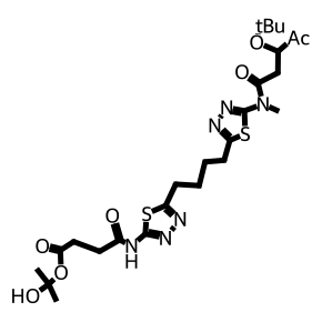 CC(=O)C(CC(=O)N(C)c1nnc(CCCCc2nnc(NC(=O)CCC(=O)OC(C)(C)O)s2)s1)OC(C)(C)C